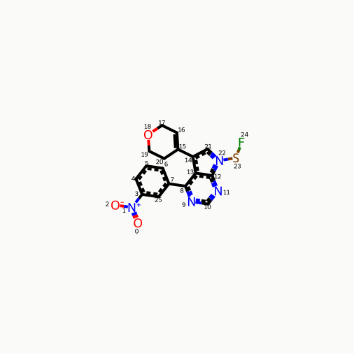 O=[N+]([O-])c1cccc(-c2ncnc3c2c(C2=CCOCC2)cn3SF)c1